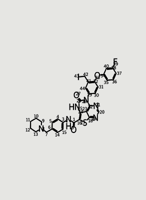 O=C(Nc1ccc(CN2CCCCC2)cc1)c1sc2ncnc3c2c1NC(=O)N3c1ccc(Oc2cccc(F)c2)c(CI)c1